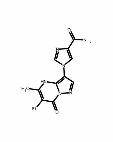 CCc1c(C)[nH]c2c(-n3cnc(C(N)=O)c3)cnn2c1=O